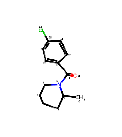 CC1CCCCN1C(=O)c1ccc(Cl)cc1